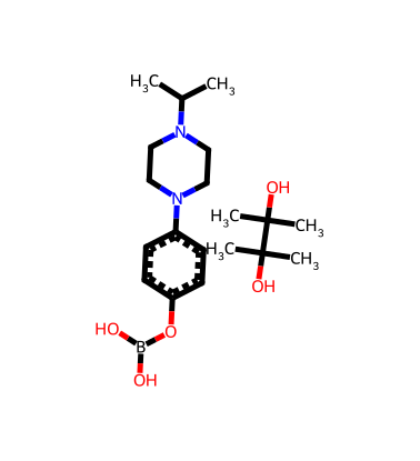 CC(C)(O)C(C)(C)O.CC(C)N1CCN(c2ccc(OB(O)O)cc2)CC1